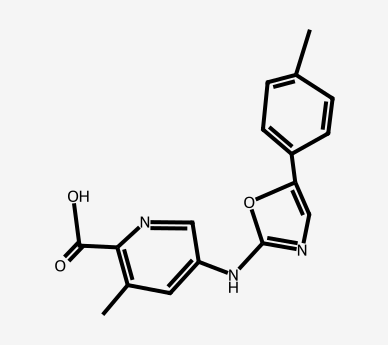 Cc1ccc(-c2cnc(Nc3cnc(C(=O)O)c(C)c3)o2)cc1